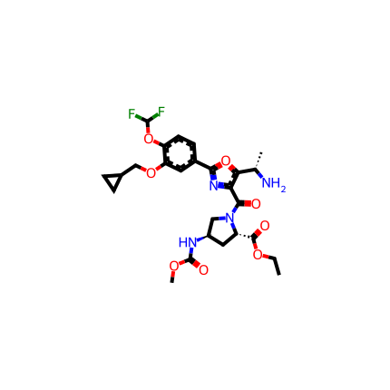 CCOC(=O)[C@@H]1C[C@@H](NC(=O)OC)CN1C(=O)c1nc(-c2ccc(OC(F)F)c(OCC3CC3)c2)oc1[C@H](C)N